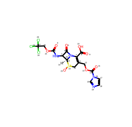 O=C(NC1C(=O)N2C(C(=O)O)=C(COC(=O)n3ccnc3)C[S+]([O-])[C@@H]12)OCC(Cl)(Cl)Cl